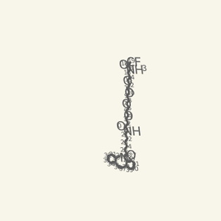 O=C(CCOCCOCCOCCOCCNC(=O)C(F)(F)F)NCCCCCC(=O)N1Cc2ccccc2C#Cc2ccccc21